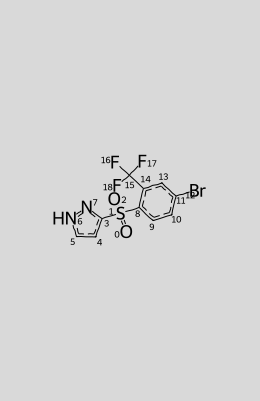 O=S(=O)(c1cc[nH]n1)c1ccc(Br)cc1C(F)(F)F